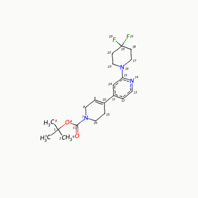 CC(C)(C)OC(=O)N1CC=C(c2ccnc(N3CCC(F)(F)CC3)c2)CC1